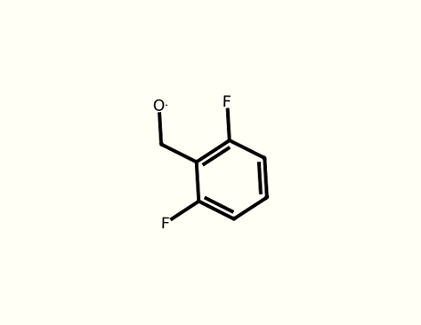 [O]Cc1c(F)cccc1F